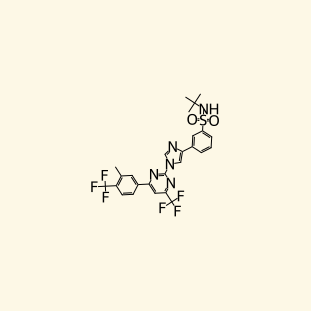 Cc1cc(-c2cc(C(F)(F)F)nc(-n3cnc(-c4cccc(S(=O)(=O)NC(C)(C)C)c4)c3)n2)ccc1C(F)(F)F